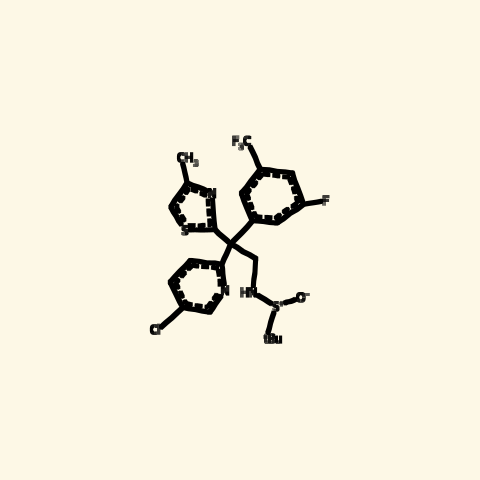 Cc1csc(C(CN[S+]([O-])C(C)(C)C)(c2cc(F)cc(C(F)(F)F)c2)c2ccc(Cl)cn2)n1